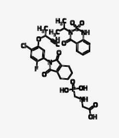 C#CC(C)Oc1cc(N2C(=O)C3=C(CCCC3)C2=O)c(F)cc1Cl.CC(C)N1C(=O)c2ccccc2NS1(=O)=O.O=C(O)CNCP(=O)(O)O